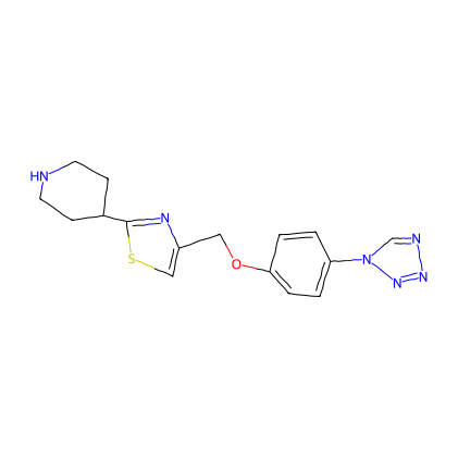 c1cc(-n2cnnn2)ccc1OCc1csc(C2CCNCC2)n1